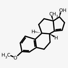 COc1ccc2c(c1)CC[C@H]1C3=CC[C@H](O)[C@@]3(C)CC[C@H]21